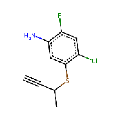 C#CC(C)Sc1cc(N)c(F)cc1Cl